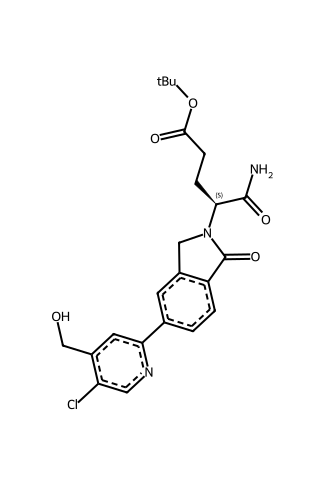 CC(C)(C)OC(=O)CC[C@@H](C(N)=O)N1Cc2cc(-c3cc(CO)c(Cl)cn3)ccc2C1=O